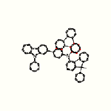 CC1(c2ccccc2)c2ccccc2-c2c(N(c3ccc(-c4ccc5c6ccccc6n(-c6ccccc6)c5c4)cc3)c3ccccc3-c3ccccc3-c3ccccc3-c3ccccc3)cccc21